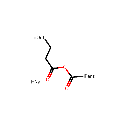 CCCCCCCCCCC(=O)OC(=O)C(C)CCC.[NaH]